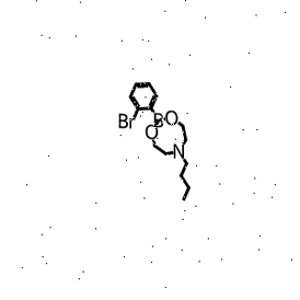 CCCCN1CCOB(c2ccccc2Br)OCC1